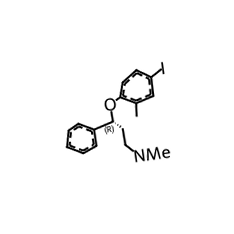 CNCC[C@@H](Oc1ccc(I)cc1C)c1ccccc1